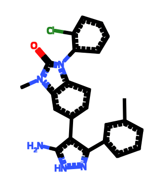 Cc1cccc(-c2n[nH]c(N)c2-c2ccc3c(c2)n(C)c(=O)n3-c2ccccc2Cl)c1